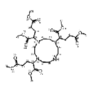 COC(=O)CCC(C(=O)OC)N1CCNCCN(C(CCC(=O)OC)C(=O)OC)CCN(C(CCC(=O)OC)C(=O)OC)CC1